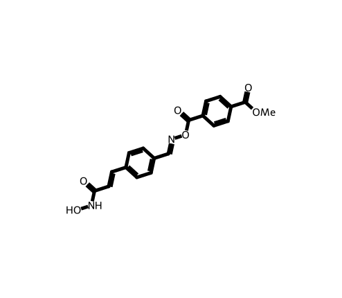 COC(=O)c1ccc(C(=O)O/N=C/c2ccc(/C=C/C(=O)NO)cc2)cc1